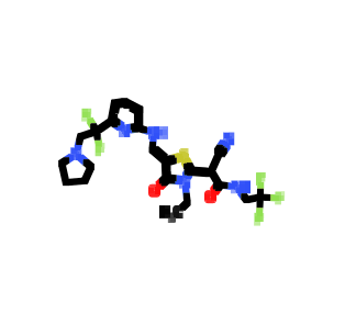 CCn1c(=C(C#N)C(=O)NCC(F)(F)F)sc(=CNc2cccc(C(F)(F)CN3CCCC3)n2)c1=O